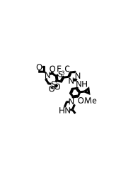 COc1c(N2CCNC(C)C2)ccc(Nc2ncc(C(F)(F)F)c(-c3cc4c(s3)C(=O)N(C3COC3)CCS4(=O)=O)n2)c1C1CC1